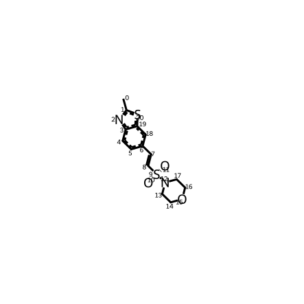 Cc1nc2ccc(/C=C/S(=O)(=O)N3CCOCC3)cc2s1